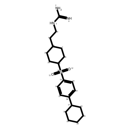 N=C(N)NCCC1CCC(S(=O)(=O)c2ccc(C3CCCCC3)cc2)CC1